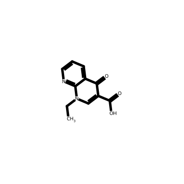 CCn1cc(C(=O)O)c(=O)c2cccnc21